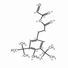 CC(C)(C)c1cc(CCC(=O)OC(=O)C=O)cc(C(C)(C)C)c1O